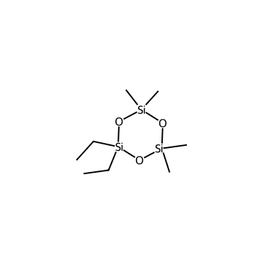 CC[Si]1(CC)O[Si](C)(C)O[Si](C)(C)O1